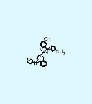 Cc1ccc2nc(N3CCS(=NC4CCOC4)c4ccccc4C3)nc(N3CC[C@H](N)C3)c2c1